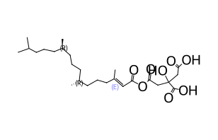 C/C(=C\C(=O)OC(=O)CC(O)(CC(=O)O)C(=O)O)CCC[C@H](C)CCC[C@H](C)CCCC(C)C